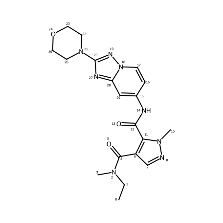 CCN(C)C(=O)c1cnn(C)c1C(=O)Nc1ccn2nc(N3CCOCC3)nc2c1